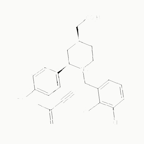 C=C(C)C#C[C@@H](c1cccc(Cl)c1Cl)N1CC[C@H](CC(=O)O)C[C@@H]1c1ccc(C(F)(F)F)cc1